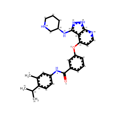 Cc1cc(NC(=O)c2cccc(Oc3ccnc4[nH]nc(N[C@@H]5CCCNC5)c34)c2)ccc1C(C)C